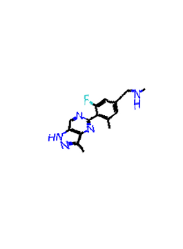 CNCc1cc(C)c(-c2ncc3[nH]nc(C)c3n2)c(F)c1